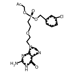 CC(=O)COP(=O)(CCOCCn1cnc2c(=O)[nH]c(N)nc21)OCc1cccc(Cl)c1